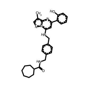 Cc1cnn2c(NCc3ccc(CNC(=O)C4CCCCCC4)cc3)cc(-c3ccccc3O)nc12